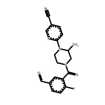 CC1CN(C(=O)c2cc(C=O)ccc2F)CCN1c1ccc(C#N)cn1